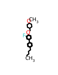 CCCCCc1ccc(-c2ccc(OCC3CCC(OC)CC3)c(F)c2)cc1